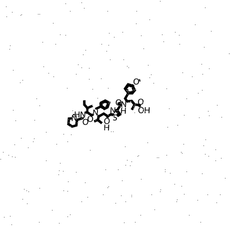 CCC(C)C(NC(=O)C1CCCCN1C)C(=O)N(Cc1ccccc1)C(CC(O)c1nc(C(=O)NC(Cc2ccc(OC)cc2)CC(C)C(=O)O)cs1)C(C)C